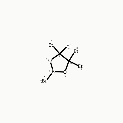 CCC1(CC)OB(C(C)(C)C)OC1(CC)CC